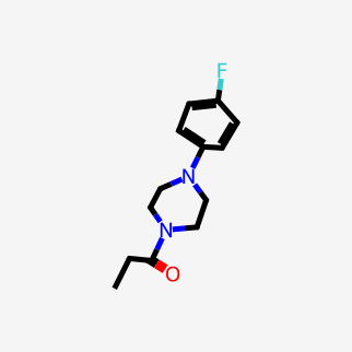 CCC(=O)N1CCN(c2ccc(F)cc2)CC1